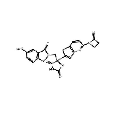 COc1ccc2c(c1)C(=O)N(C[C@@]1(c3cc4nc(N5CCC5=O)ccc4o3)NC(=O)NC1=O)C2